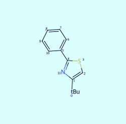 CC(C)(C)c1csc(-c2cc[c]cc2)n1